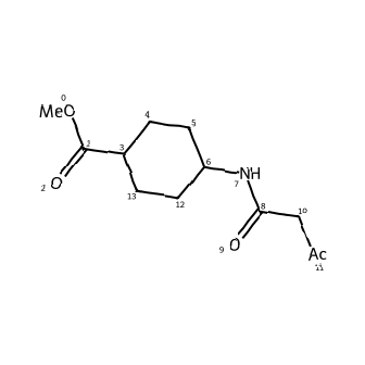 COC(=O)C1CCC(NC(=O)CC(C)=O)CC1